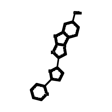 COc1ccc2c(c1)sc1nc(-c3ccc(-c4ccccn4)s3)cn12